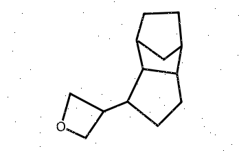 C1CC2CC1C1CCC(C3COC3)C21